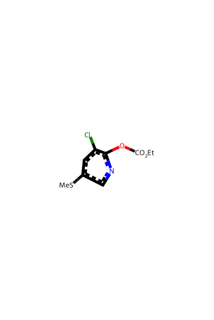 CCOC(=O)Oc1ncc(SC)cc1Cl